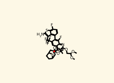 COC(COc1nc(N2CC3CCC(C2)N3C(=O)OC(C)(C)C)c2cc(C(F)(F)F)c(-c3ccc(F)c4sc(N)c(C#N)c34)c(F)c2n1)OC